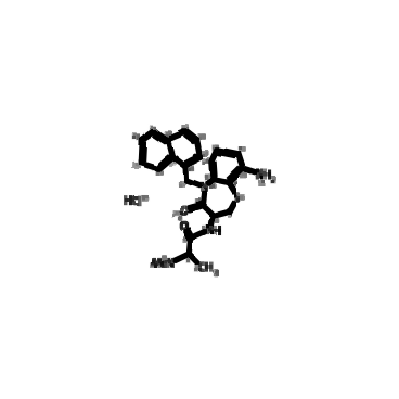 CNC(C)C(=O)NC1CSc2c(N)cccc2N(Cc2cccc3ccccc23)C1=O.Cl